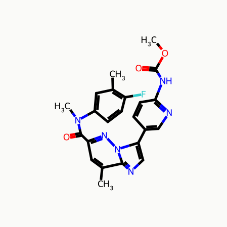 COC(=O)Nc1ccc(-c2cnc3c(C)cc(C(=O)N(C)c4ccc(F)c(C)c4)nn23)cn1